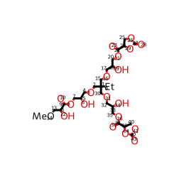 CCC(COCC(O)COC(=O)C(O)COC)(COCC(O)COC(=O)C1COC(=O)O1)COCC(O)COC(=O)C1COC(=O)O1